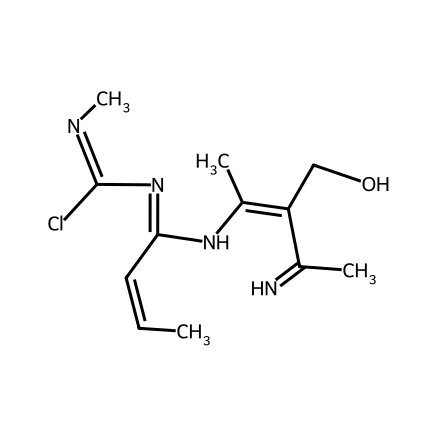 C\C=C/C(=N\C(Cl)=N/C)N/C(C)=C(/CO)C(C)=N